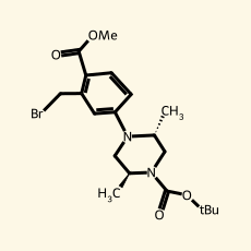 COC(=O)c1ccc(N2C[C@H](C)N(C(=O)OC(C)(C)C)C[C@H]2C)cc1CBr